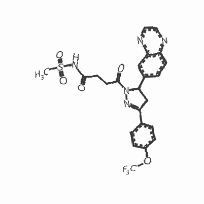 CS(=O)(=O)NC(=O)CCC(=O)N1N=C(c2ccc(OC(F)(F)F)cc2)CC1c1ccc2nccnc2c1